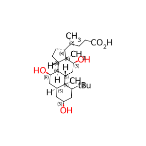 C[C@H](CCC(=O)O)[C@H]1CC[C@H]2[C@@H]3[C@H](O)C[C@@H]4C[C@H](O)CC(C(C)(C)C)[C@]4(C)[C@H]3C[C@H](O)[C@]12C